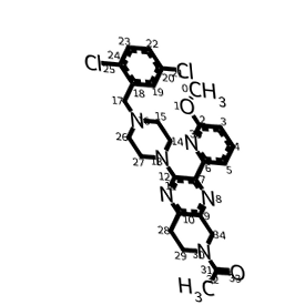 COc1cccc(-c2nc3c(nc2N2CCN(Cc4cc(Cl)ccc4Cl)CC2)CCN(C(C)=O)C3)n1